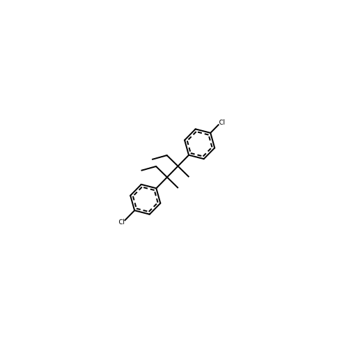 CCC(C)(c1ccc(Cl)cc1)C(C)(CC)c1ccc(Cl)cc1